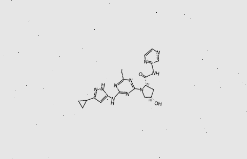 O=C(Nc1cnccn1)[C@@H]1C[C@H](O)CN1c1nc(I)nc(Nc2cc(C3CC3)n[nH]2)n1